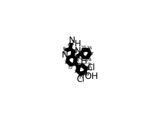 CCC1(Nc2c(C#N)cnc3ccc(-c4cc(Cl)c(O)c(Cl)c4)cc23)C=CC=CC1